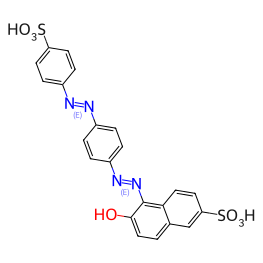 O=S(=O)(O)c1ccc(/N=N/c2ccc(/N=N/c3c(O)ccc4cc(S(=O)(=O)O)ccc34)cc2)cc1